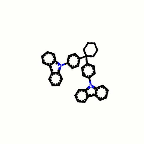 c1ccc2c(c1)c1ccccc1n2-c1ccc(C2(c3ccc(-n4c5ccccc5c5ccccc54)cc3)CCCCC2)cc1